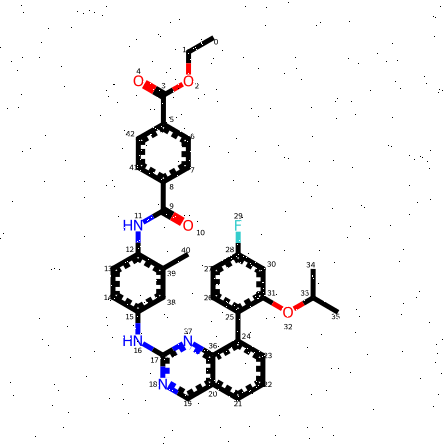 CCOC(=O)c1ccc(C(=O)Nc2ccc(Nc3ncc4cccc(-c5ccc(F)cc5OC(C)C)c4n3)cc2C)cc1